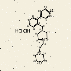 Cl.Cl.Clc1ccc(-c2ccccc2CC2CCN(CCN3CCOCC3)CC2)cc1